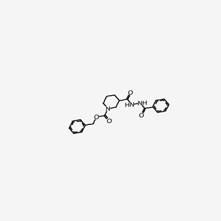 O=C(NNC(=O)C1CCCN(C(=O)OCc2ccccc2)C1)c1ccccc1